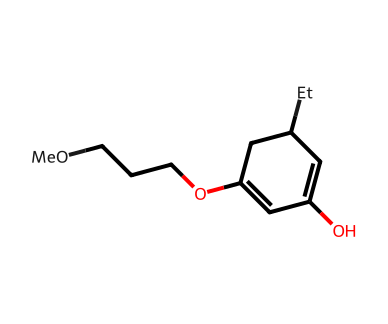 CCC1C=C(O)C=C(OCCCOC)C1